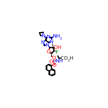 CC(NP(=O)(OC[C@H]1OC(n2cnc3c(N4CCC4)nc(N)nc32)[C@](C)(O)[C@@H]1F)Oc1cccc2ccccc12)C(=O)O